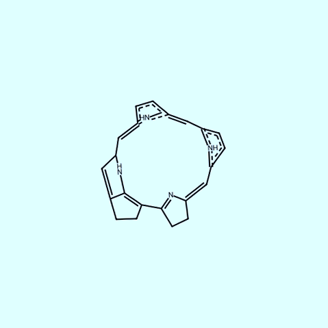 C1=C2CCC(=N2)C2=C3NC(C=C3CC2)C=c2ccc([nH]2)=Cc2ccc1[nH]2